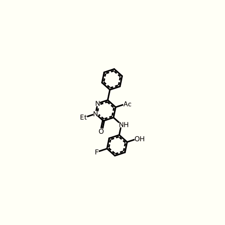 CCn1nc(-c2ccccc2)c(C(C)=O)c(Nc2cc(F)ccc2O)c1=O